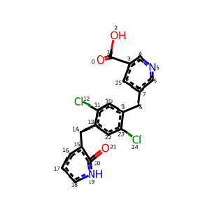 O=C(O)c1cncc(Cc2cc(Cl)c(Cc3ccc[nH]c3=O)cc2Cl)c1